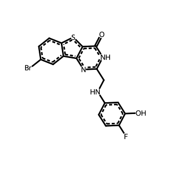 O=c1[nH]c(CNc2ccc(F)c(O)c2)nc2c1sc1ccc(Br)cc12